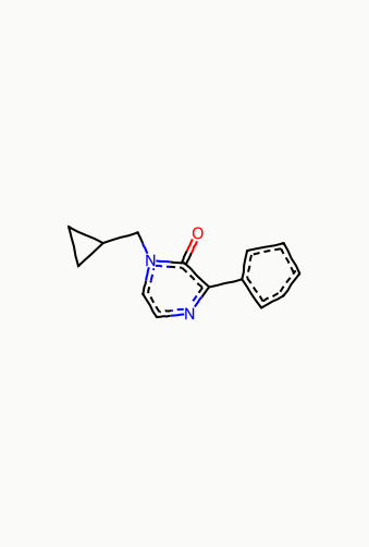 O=c1c(-c2ccccc2)nccn1CC1CC1